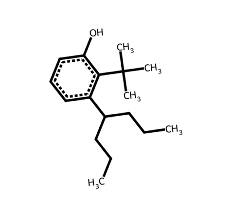 CCCC(CCC)c1cccc(O)c1C(C)(C)C